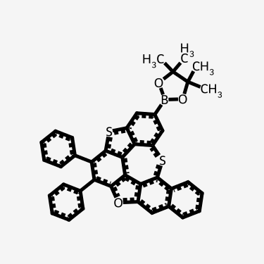 CC1(C)OB(c2cc3sc4c(-c5ccccc5)c(-c5ccccc5)c5oc6cc7ccccc7c7sc(c2)c3c4c5c67)OC1(C)C